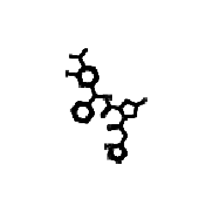 CC(C)c1ccc(C(NC(=O)C2CC(F)CN2C(=O)Cc2cnn[nH]2)c2ccccc2)nc1F